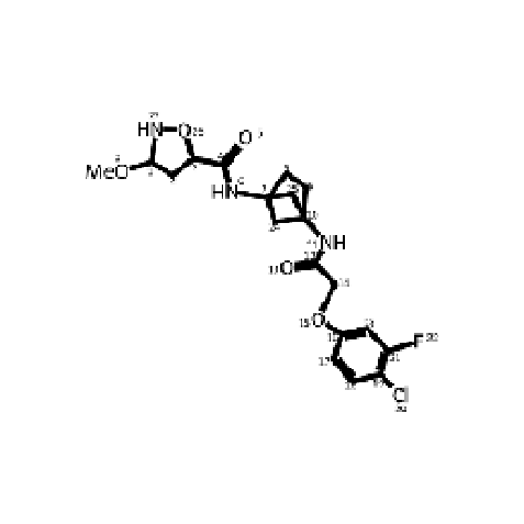 COC1CC(C(=O)NC23CCC(NC(=O)COc4ccc(Cl)c(F)c4)(C2)C3)ON1